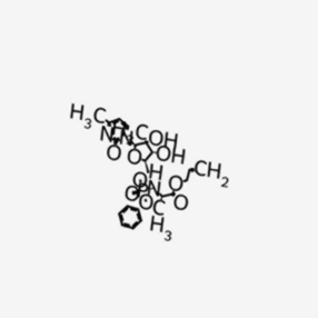 C=CCOC(=O)[C@H](C)N[P@](=O)(OC[C@H]1O[C@@H](n2ccc(C)nc2=O)[C@](C)(O)[C@@H]1O)Oc1ccccc1